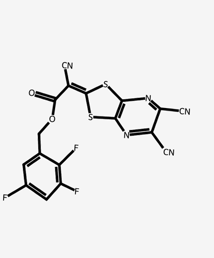 N#CC(C(=O)OCc1cc(F)cc(F)c1F)=C1Sc2nc(C#N)c(C#N)nc2S1